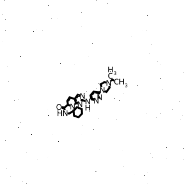 CC(C)N1CCN(c2ccc(Nc3ncc4c(n3)N3C(C=C4)C(=O)NCC34CCCCC4)nn2)CC1